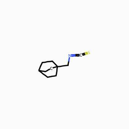 S=C=NCC12CCC(CC1)CC2